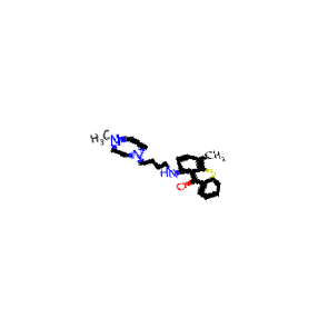 Cc1ccc(NCCCCN2CCN(C)CC2)c2c(=O)c3ccccc3sc12